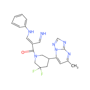 Cc1cc(C2CN(C(=O)/C(C=N)=C/Nc3ccccc3)CC(F)(F)C2)n2ncnc2n1